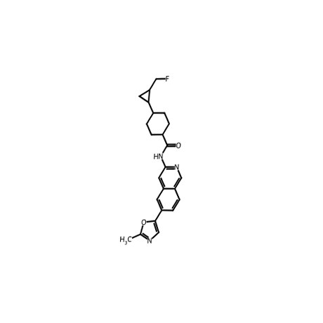 Cc1ncc(-c2ccc3cnc(NC(=O)C4CCC(C5CC5CF)CC4)cc3c2)o1